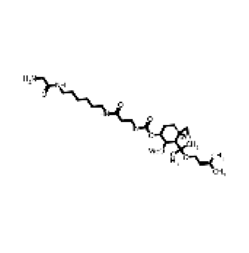 COC1C(OC(=O)NCCC(=O)NCCCCCCNC(=O)CN)CC[C@]2(CO2)C1C(C)(C)OCC=C(C)C